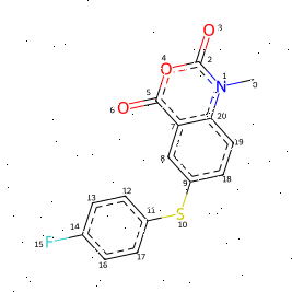 Cn1c(=O)oc(=O)c2cc(Sc3ccc(F)cc3)ccc21